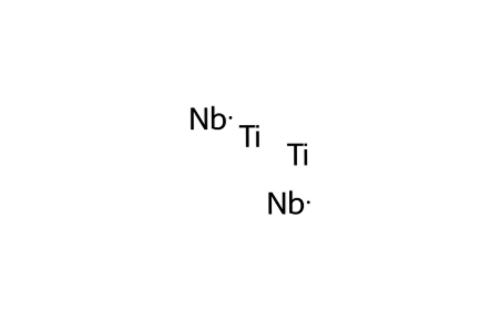 [Nb].[Nb].[Ti].[Ti]